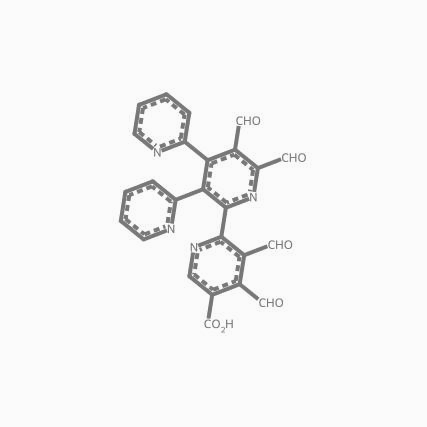 O=Cc1nc(-c2ncc(C(=O)O)c(C=O)c2C=O)c(-c2ccccn2)c(-c2ccccn2)c1C=O